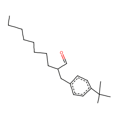 CCCCCCCCC(C=O)Cc1ccc(C(C)(C)C)cc1